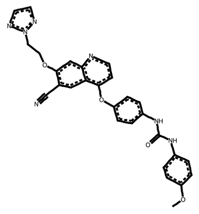 COc1ccc(NC(=O)Nc2ccc(Oc3ccnc4cc(OCCn5nccn5)c(C#N)cc34)cc2)cc1